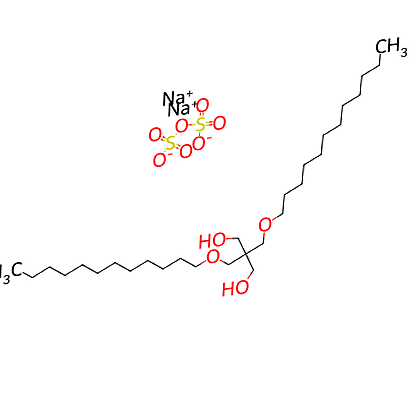 CCCCCCCCCCCCOCC(CO)(CO)COCCCCCCCCCCCC.O=S(=O)([O-])OS(=O)(=O)[O-].[Na+].[Na+]